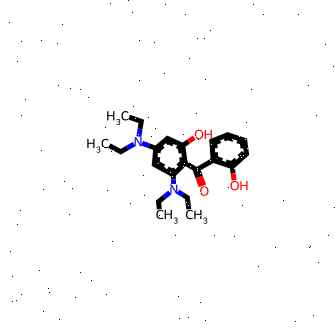 CCN(CC)c1cc(O)c(C(=O)c2ccccc2O)c(N(CC)CC)c1